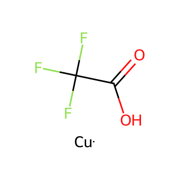 O=C(O)C(F)(F)F.[Cu]